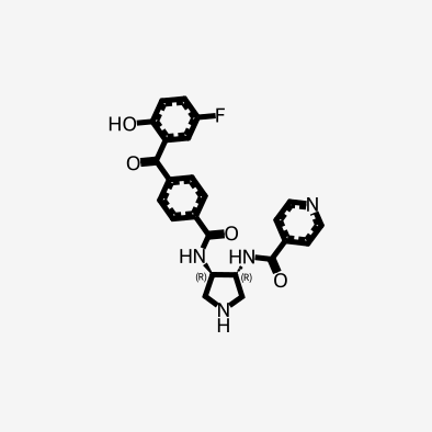 O=C(N[C@@H]1CNC[C@H]1NC(=O)c1ccc(C(=O)c2cc(F)ccc2O)cc1)c1ccncc1